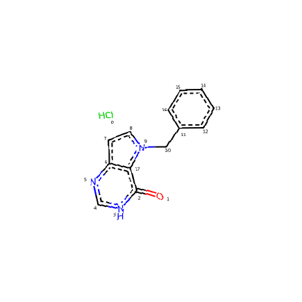 Cl.O=c1[nH]cnc2ccn(Cc3ccccc3)c12